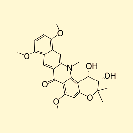 COc1ccc(OC)c2cc3c(cc12)c(=O)c1c(OC)cc2c(c1n3C)[C@H](O)[C@H](O)C(C)(C)O2